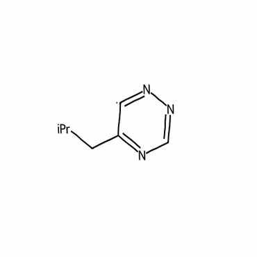 CC(C)Cc1[c]nncn1